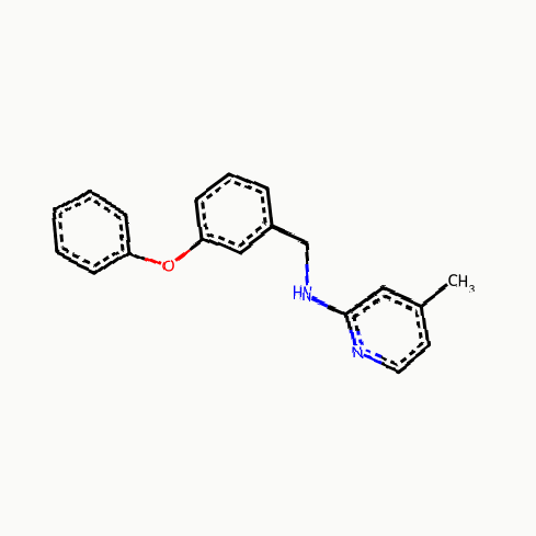 Cc1ccnc(NCc2cccc(Oc3ccccc3)c2)c1